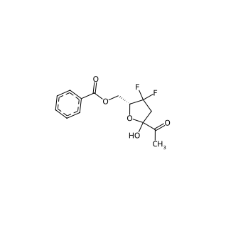 CC(=O)C1(O)CC(F)(F)[C@@H](COC(=O)c2ccccc2)O1